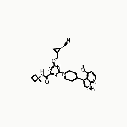 COc1ccnc2[nH]cc(C3CCN(c4nc(OC[C@H]5C[C@H]5C#N)nc(C(=O)NC5(C)CCC5)n4)CC3)c12